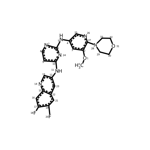 COc1cc(Nc2nccc(Nc3cnc4cc(F)c(F)cc4c3)n2)cnc1N1CCOCC1